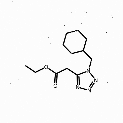 CCOC(=O)Cc1nnnn1CC1CCCCC1